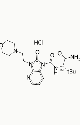 CC(C)(C)[C@H](NC(=O)n1c(=O)n(CCN2CCOCC2)c2ncccc21)C(N)=O.Cl